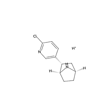 Clc1ccc([C@@H]2C[C@H]3CC[C@@H]2N3)cn1.[H+]